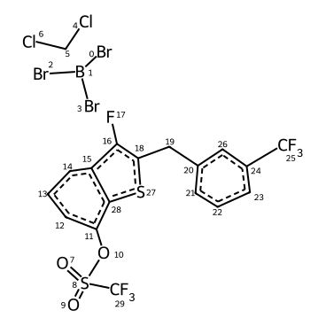 BrB(Br)Br.ClCCl.O=S(=O)(Oc1cccc2c(F)c(Cc3cccc(C(F)(F)F)c3)sc12)C(F)(F)F